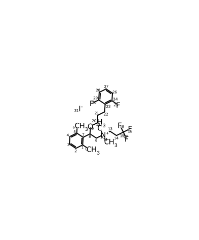 Cc1cccc(C)c1C(C[N+](C)(C)CCC(F)(F)F)OCCCc1c(F)cccc1F.[I-]